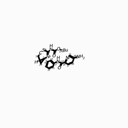 CC(C)(C)OC(=O)NC1=N[C@@]2(c3cccc(NC(=O)c4ccc(N)cn4)c3)C[C@H]2CCS1